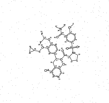 COc1ccc(S(=O)(=O)N2CCCC2C(=O)OC(Cc2c(Cl)cncc2Cl)c2ccc(OC(F)F)c(OCC3CC3)c2)cc1C(=O)N(C)C